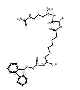 CC(C)[C@H](NC(=O)CCCCSC[C@H](NC(=O)OCC1c2ccccc2-c2ccccc21)C(=O)O)C(=O)N[C@@H](CCCNC(N)=O)C(=O)O